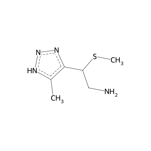 CSC(CN)c1nn[nH]c1C